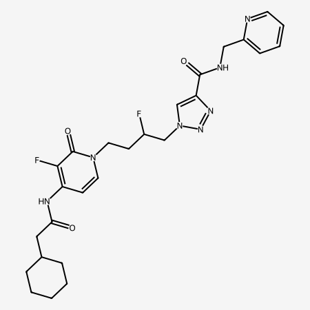 O=C(CC1CCCCC1)Nc1ccn(CCC(F)Cn2cc(C(=O)NCc3ccccn3)nn2)c(=O)c1F